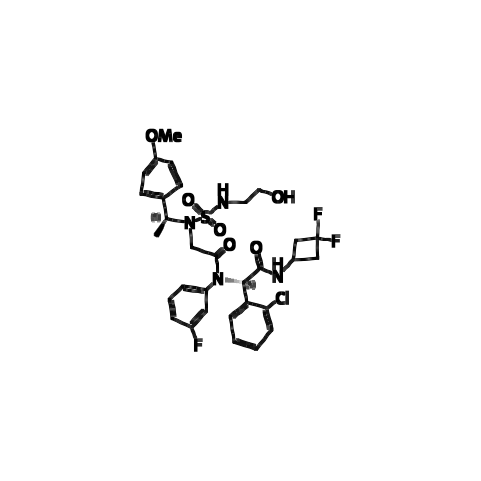 COc1ccc([C@H](C)N(CC(=O)N(c2cccc(F)c2)[C@H](C(=O)NC2CC(F)(F)C2)c2ccccc2Cl)S(=O)(=O)NCCO)cc1